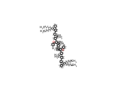 CCCCCCCCC1(CCCCCCCC)c2ccccc2-c2ccc(-c3ccc4c(c3)C(C)(C)c3cc(-c5cc6c(c7c5oc5ccccc57)-c5cc7c(cc5[Si]6(C)C)-c5c(cc(-c6ccc8c(c6)C(C)(C)c6cc(-c9ccc%10c(c9)C(CCCCCCCC)(CCCCCCCC)c9ccccc9-%10)ccc6-8)c6oc8ccccc8c56)[Si]7(C)C)ccc3-4)cc21